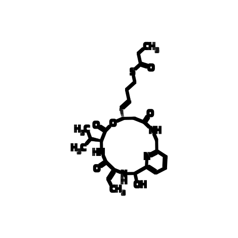 C/C=C1\NC(O)c2cccc(n2)CNC(=O)C[C@@H](/C=C/CCSC(=O)CC)OC(=O)[C@H](C(C)C)NC1=O